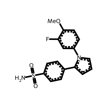 COc1ccc(-n2cccc2-c2ccc(S(N)(=O)=O)cc2)cc1F